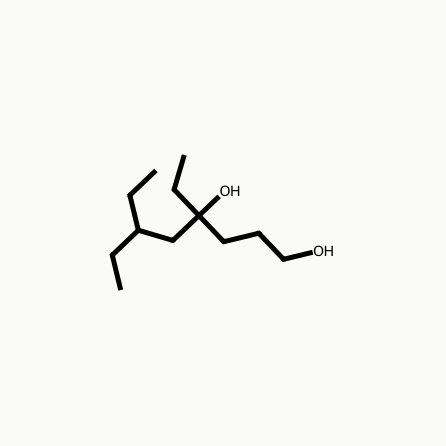 CCC(CC)CC(O)(CC)CCCO